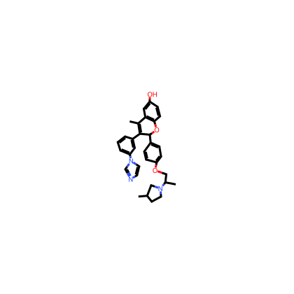 CC1=C(c2cccc(-n3ccnc3)c2)C(c2ccc(OCC(C)N3CCC(C)C3)cc2)Oc2ccc(O)cc21